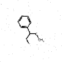 COC(CF)c1ccccc1